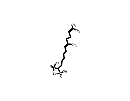 CC(C)=CCC/C(C)=C/CCCCCC(P(=O)(O)O)P(=O)(O)O